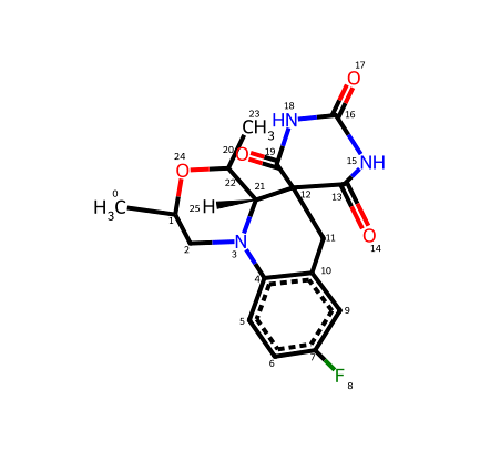 CC1CN2c3ccc(F)cc3CC3(C(=O)NC(=O)NC3=O)[C@H]2C(C)O1